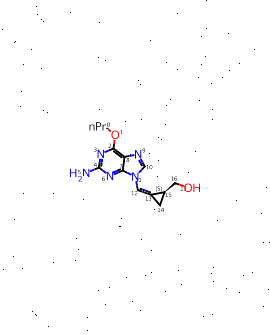 CCCOc1nc(N)nc2c1ncn2/C=C1/C[C@@H]1CO